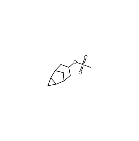 CS(=O)(=O)OC1CC2CC(C1)C1CC21